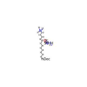 CCCCCCCCCCCCCCCCCCCCCC[N+](C)(C)C.CN.O=S(=O)([O-])O